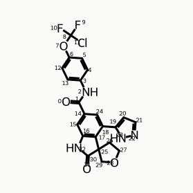 O=C(Nc1ccc(OC(F)(F)Cl)cc1)c1cc2c(c(-c3ccn[nH]3)c1)C1(CCOC1)C(=O)N2